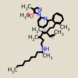 C=C(CCNC(C)CCCCCCCC)/C(C)=C(\C=C/C)CCC1=C(C)CC=CC=C1C1=NC(n2ncc(C)c2OC)=CCC=C1